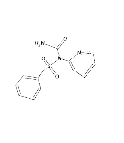 NC(=O)N(c1ccccn1)S(=O)(=O)c1ccccc1